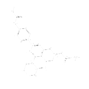 CCNC(=O)Nc1ccc(-c2nc3c(c(N4CCOC[C@@H]4C)n2)CCN(CC(=O)OC)C3)cc1